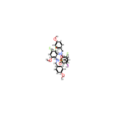 COc1ccc(CN(c2ccc(I)cc2F)c2c(F)c(F)cc(OC)c2N(Cc2ccc(OC)cc2)S(=O)(=O)C2CC2)cc1